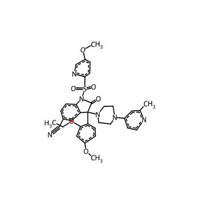 CCOc1cc(OC)ccc1C1(N2CCN(c3ccnc(C)c3)CC2)C(=O)N(S(=O)(=O)c2ccc(OC)cn2)c2ccc(C#N)cc21